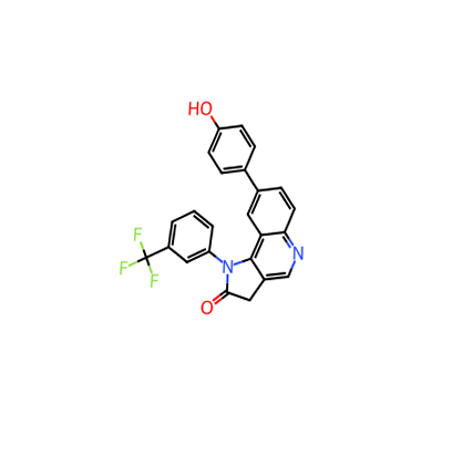 O=C1Cc2cnc3ccc(-c4ccc(O)cc4)cc3c2N1c1cccc(C(F)(F)F)c1